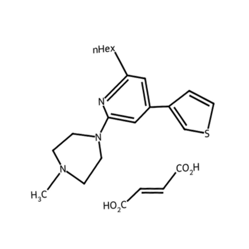 CCCCCCc1cc(-c2ccsc2)cc(N2CCN(C)CC2)n1.O=C(O)C=CC(=O)O